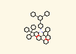 c1ccc(-c2cc(-c3ccccc3)cc(-c3ccc(N(c4ccc5c(c4)C(c4ccccc4)(c4ccccc4)c4ccccc4-5)c4c(-c5ccccc5-c5ccccc5)c5ccccc5c5ccccc45)cc3)c2)cc1